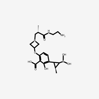 C[C@@H]1C(B(O)O)C1c1ccc(OC2CN(C[C@H](C)C(=O)NCCN)C2)c(C(=O)O)c1O